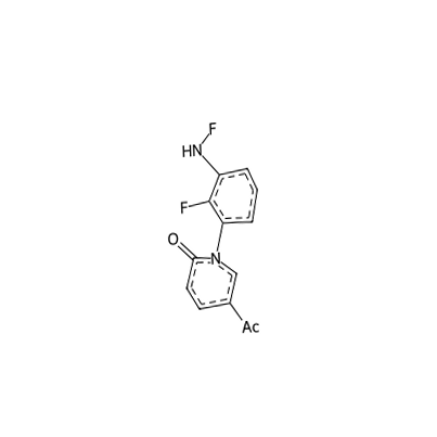 CC(=O)c1ccc(=O)n(-c2cccc(NF)c2F)c1